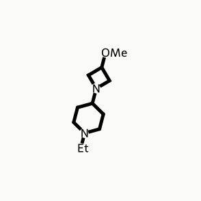 CCN1CCC(N2CC(OC)C2)CC1